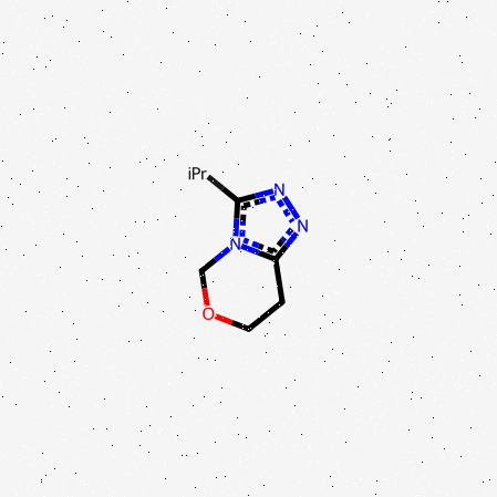 CC(C)c1nnc2n1COCC2